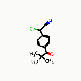 CC(C)(C)C(=O)c1ccc(C(Cl)C#N)cc1